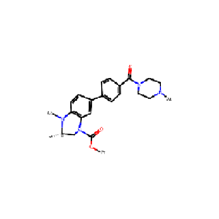 CC(=O)N1CCN(C(=O)c2ccc(-c3ccc4c(c3)N(C(=O)OC(C)C)C[C@H](C)N4C(C)=O)cc2)CC1